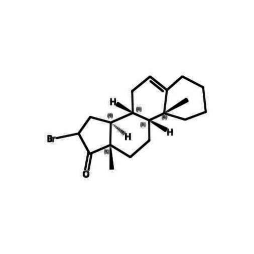 C[C@]12CCCCC1=CC[C@@H]1[C@H]2CC[C@]2(C)C(=O)C(Br)C[C@@H]12